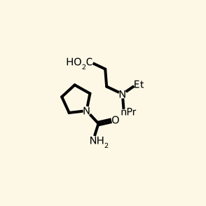 CCCN(CC)CCC(=O)O.NC(=O)N1CCCC1